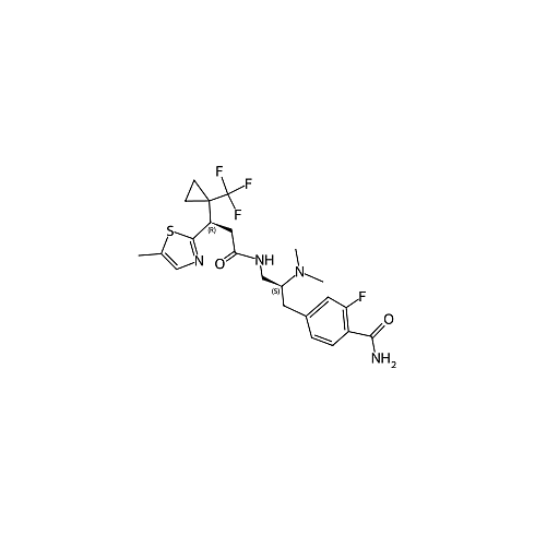 Cc1cnc([C@H](CC(=O)NC[C@H](Cc2ccc(C(N)=O)c(F)c2)N(C)C)C2(C(F)(F)F)CC2)s1